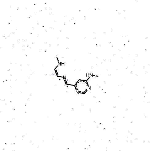 CN/C=C\N=C\c1cc(NC)ncn1